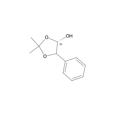 CC1(C)OC(c2ccccc2)[C@@H](O)O1